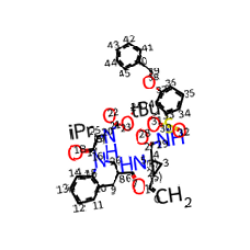 C=C[C@@H]1C[C@]1(NC(=O)C1Cc2ccccc2N(C(=O)[C@@H](NC(=O)OC(C)(C)C)C(C)C)C1)C(=O)NS(=O)(=O)c1cccc(OCc2ccccc2)c1